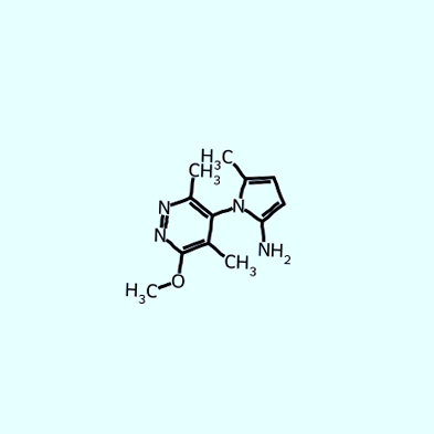 COc1nnc(C)c(-n2c(C)ccc2N)c1C